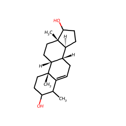 CC1C2=CC[C@@H]3[C@@H](CC[C@]4(C)C(O)CC[C@@H]34)[C@@]2(C)CCC1O